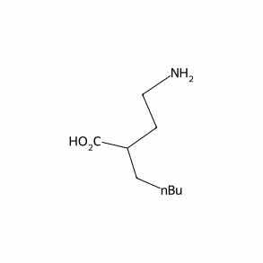 CCCCCC(CCN)C(=O)O